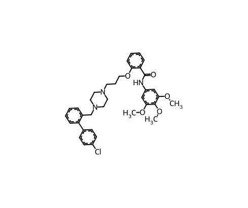 COc1cc(NC(=O)c2ccccc2OCCCN2CCN(Cc3ccccc3-c3ccc(Cl)cc3)CC2)cc(OC)c1OC